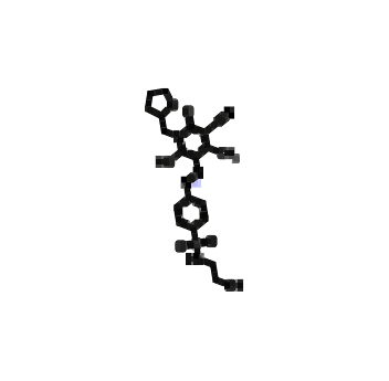 Cc1c(/N=N/c2ccc(S(=O)(=O)NCCO)cc2)c(O)n(CC2CCCO2)c(=O)c1C#N